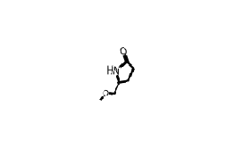 COC[C@@H]1CCC(=O)N1